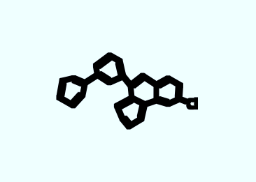 Clc1ccc2cc(-c3cccc(-c4ccccc4)c3)c3ccccc3c2c1